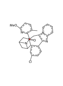 COc1ccc(C)c(C(=O)N2C3CC2CN(Cc2c(-c4ccc(Cl)cc4)nc4ccccn24)C3)n1